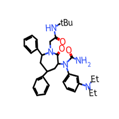 CCN(CC)c1cccc(N(C(N)=O)C2CC(c3ccccc3)CC(c3ccccc3)N(CC(=O)NC(C)(C)C)C2=O)c1